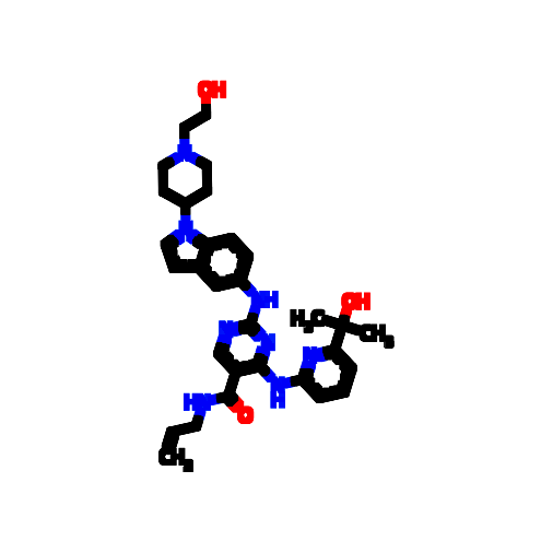 C=CCNC(=O)c1cnc(Nc2ccc3c(ccn3C3CCN(CCO)CC3)c2)nc1Nc1cccc(C(C)(C)O)n1